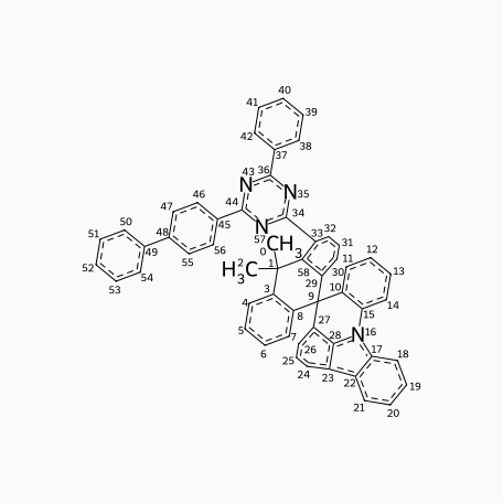 CC1(C)c2ccccc2C2(c3ccccc3-n3c4ccccc4c4cccc2c43)c2cccc(-c3nc(-c4ccccc4)nc(-c4ccc(-c5ccccc5)cc4)n3)c21